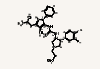 COCCN1C[C@@H](NC(=O)Nc2c(C)c(CC(C)O)nn2-c2ccccc2)[C@H](c2ccc(F)c(F)c2)C1